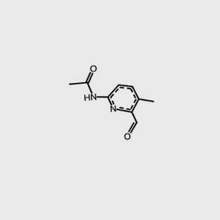 CC(=O)Nc1ccc(C)c(C=O)n1